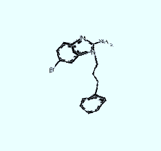 Nc1nc2ccc(Br)cc2n1CCCc1ccccc1